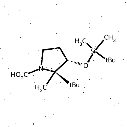 CC(C)(C)[C@]1(C)[C@@H](O[Si](C)(C)C(C)(C)C)CCN1C(=O)O